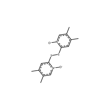 Cc1cc(SSc2cc(C)c(C)c[n+]2[O-])[n+]([O-])cc1C